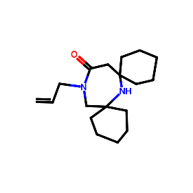 C=CCN1CC2(CCCCC2)NC2(CCCCC2)CC1=O